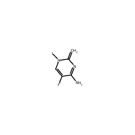 C=C1N=C(N)C(F)=CN1I